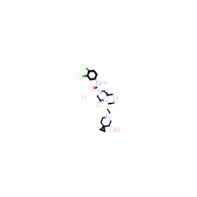 C[C@H]1C(=O)N2[C@@H](CCN3CCC4(CC4)[C@H](O)C3)COC[C@H]2CN1C(=O)Nc1ccc(Cl)c(Cl)c1